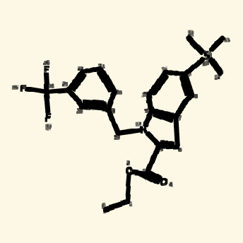 CCOC(=O)c1cc2cc([Si](C)(C)C)ccc2n1Cc1cccc(C(F)(F)F)c1